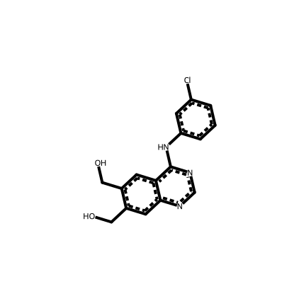 OCc1cc2ncnc(Nc3cccc(Cl)c3)c2cc1CO